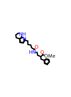 COC(=O)C(CCNC(=O)CCCCc1ccc2c(n1)NCCC2)Cc1ccccc1